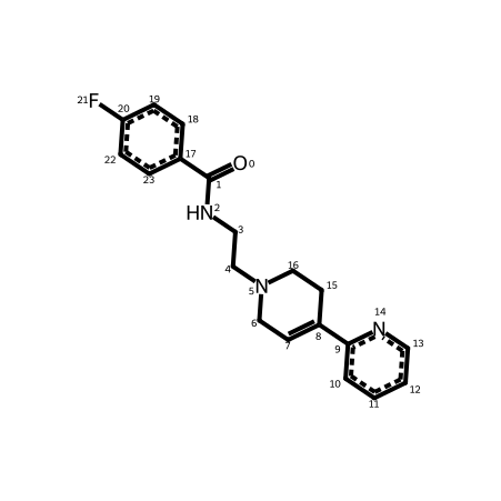 O=C(NCCN1CC=C(c2ccccn2)CC1)c1ccc(F)cc1